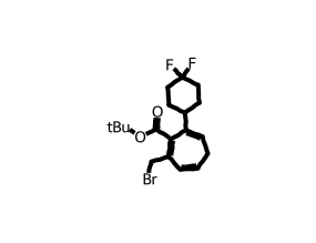 CC(C)(C)OC(=O)C1=C(CBr)C=CCC=C1C1CCC(F)(F)CC1